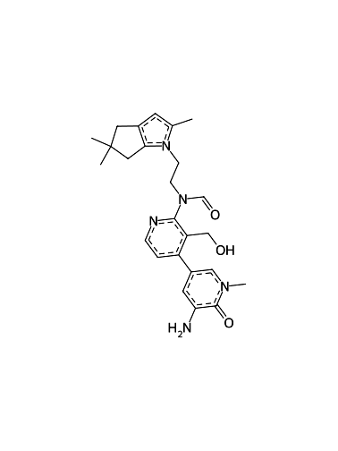 Cc1cc2c(n1CCN(C=O)c1nccc(-c3cc(N)c(=O)n(C)c3)c1CO)CC(C)(C)C2